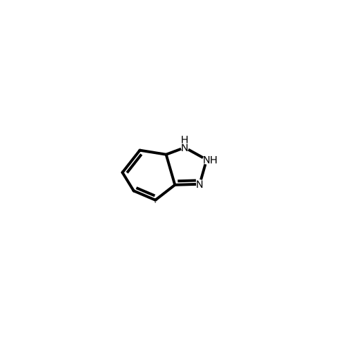 [C]1=CC=CC2NNN=C12